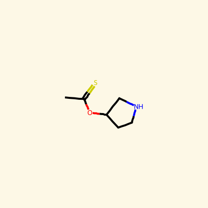 CC(=S)OC1CCNC1